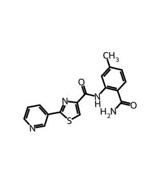 Cc1ccc(C(N)=O)c(NC(=O)c2csc(-c3cccnc3)n2)c1